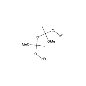 CCCOC(C)([N]C(C)(OC)OCCC)OC